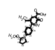 CCc1cc(C(=O)O)c(=O)[nH]c1-c1ccc(N2CCC[C@H]2OC)cc1